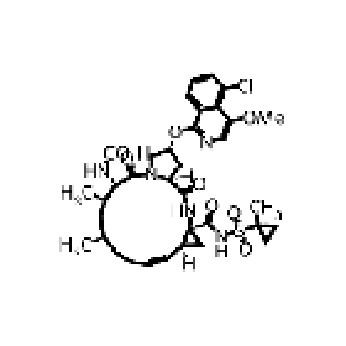 COc1cnc(O[C@@H]2C[C@H]3C(=O)N[C@]4(C(=O)NS(=O)(=O)C5(C)CC5)C[C@H]4/C=C\CC[C@@H](C)C[C@@H](C)[C@H](NC(=O)O)C(=O)N3C2)c2cccc(Cl)c12